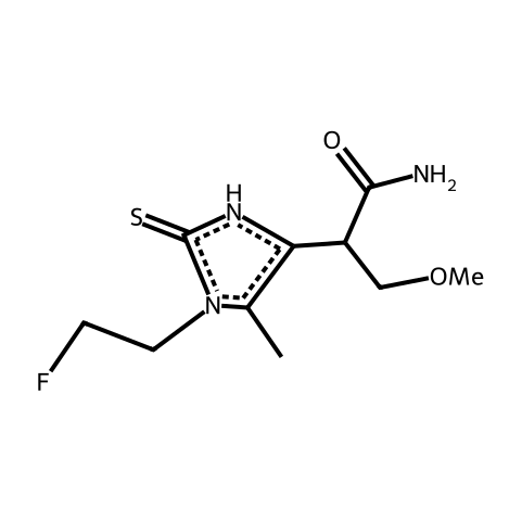 COCC(C(N)=O)c1[nH]c(=S)n(CCF)c1C